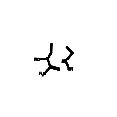 CCN(O)C(N)=O.CCNO